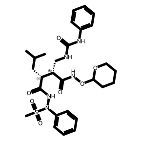 CC(C)C[C@@H](C(=O)NN(c1ccccc1)S(C)(=O)=O)[C@H](CNC(=O)Nc1ccccc1)C(=O)NOC1CCCCO1